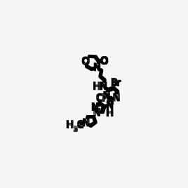 Cc1nn([C@@H]2CCN(C)C2)cc1Nc1ncc(Br)c(NCCCN2CCOCCC2=O)n1